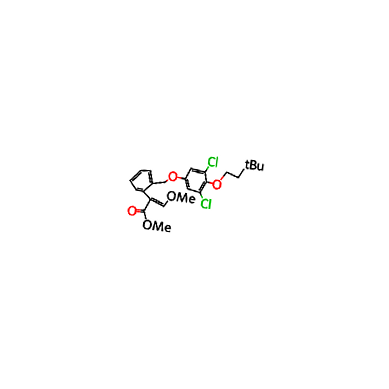 CO/C=C(/C(=O)OC)c1ccccc1COc1cc(Cl)c(OCCC(C)(C)C)c(Cl)c1